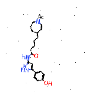 CC(=O)N1CCCC(CCCCC(=O)Nc2cc(-c3ccc(O)cc3)[nH]n2)CC1